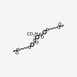 C=CC(=O)OCCCCCCOc1ccc(C(=O)Oc2ccc(OC(=O)c3ccc(OCCCCCCOC(=O)C=C)cc3)c(C(=O)O)c2)cc1